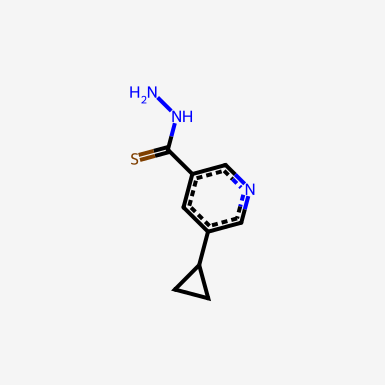 NNC(=S)c1cncc(C2CC2)c1